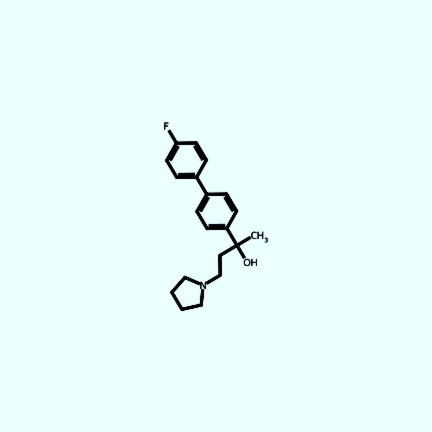 CC(O)(CCN1CCCC1)c1ccc(-c2ccc(F)cc2)cc1